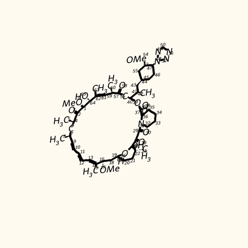 COC1C(=O)[C@H](C)C[C@H](C)/C=C/C=C/C=C(\C)[C@@H](OC)C[C@@H]2CC[C@@H](C)[C@@](O)(O2)C(=O)C(=O)N2CCCC[C@H]2C(=O)O[C@H]([C@H](C)C[C@@H]2CC[C@H](n3ncnn3)[C@H](OC)C2)CC(=O)[C@H](C)/C=C(\C)[C@H]1O